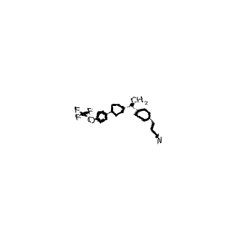 C=C([C@H]1CC[C@H](/C=C/C#N)CC1)[C@H]1CC[C@H](c2ccc(OC(F)(F)F)cc2)CC1